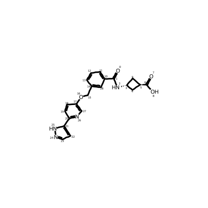 O=C(N[C@H]1C[C@H](C(=O)O)C1)c1cccc(COc2ccc(-c3ccn[nH]3)nc2)c1